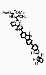 COC(=O)NC(C(=O)N1CCC[C@H]1c1ncc(-c2ccc3c(c2)C(F)(F)c2cc(-c4ccc5nc([C@H]6N[C@@H]7CC[C@H]6C7)[nH]c5c4)ccc2-3)[nH]1)[C@@H](C)OC